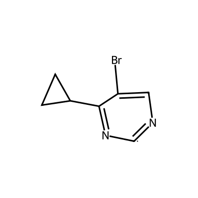 Brc1cn[c]nc1C1CC1